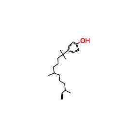 C=CC(C)CCCC(C)CCCC(C)(C)c1ccc(O)cc1